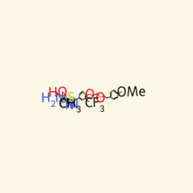 COc1ccc(CCOCCOc2ccc(-c3nnc([C@@](C)(N)CO)s3)cc2C(F)(F)F)cc1